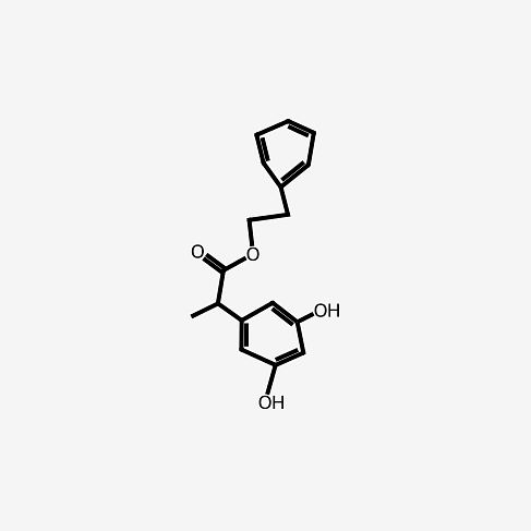 CC(C(=O)OCCc1ccccc1)c1cc(O)cc(O)c1